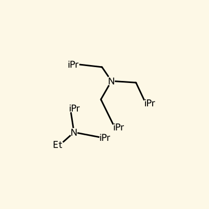 CC(C)CN(CC(C)C)CC(C)C.CCN(C(C)C)C(C)C